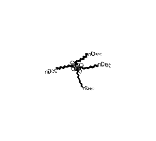 CCCCCCCCCCCCCCCCCC(=O)O[Si](OC(=O)CCCCCCCCCCCCCCCCC)(OC(=O)CCCCCCCCCCCCCCCCC)OC(=O)CCCCCCCCCCCCCCCCC